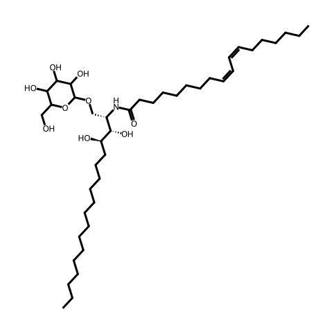 CCCCCC/C=C\C=C/CCCCCCCC(=O)N[C@@H](COC1OC(CO)C(O)C(O)C1O)[C@H](O)[C@H](O)CCCCCCCCCCCCCC